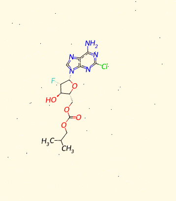 CC(C)COC(=O)OC[C@H]1O[C@@H](n2cnc3c(N)nc(Cl)nc32)[C@@H](F)[C@@H]1O